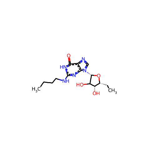 CCCCNc1nc2c(ncn2[C@@H]2O[C@H](CC)[C@H](O)C2O)c(=O)[nH]1